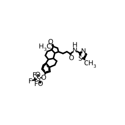 Cc1cnc(NC(=O)CCC2CC(=O)C3(C)CCC4c5ccc(OS(=O)(=O)C(F)(F)F)cc5CCC4C23)s1